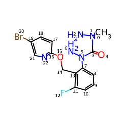 CN(N)C(=O)N(N)c1cccc(F)c1COc1ccc(Br)cn1